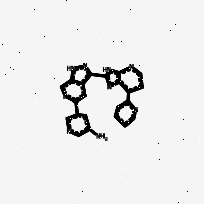 Nc1cncc(-c2cc3c(-c4nc5c(-c6ccccn6)ccnc5[nH]4)n[nH]c3cn2)c1